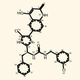 C=C1C=C(O)c2cc(-c3nc([C@H](Cc4ccccc4)NC(=O)NCc4cccc(Cl)c4)[nH]c3Cl)ccc2N1